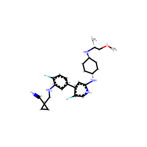 COC[C@@H](C)N[C@H]1CC[C@H](Nc2cc(-c3ccc(F)c(NCC4(C#N)CC4)c3)c(F)cn2)CC1